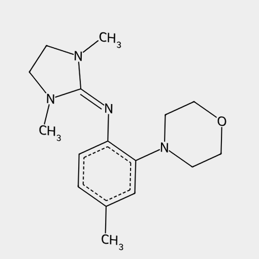 Cc1ccc(N=C2N(C)CCN2C)c(N2CCOCC2)c1